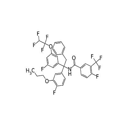 CCCOc1cc(C(Cc2ccccc2)(NC(=O)c2ccc(F)c(C(F)(F)F)c2)c2cc(F)cc(OC(F)(F)C(F)F)c2)ccc1F